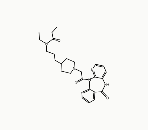 CCC(=O)N(CC)CCCC1CCN(CC(=O)N2c3ccccc3C(=O)Nc3cccnc32)CC1